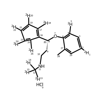 Cl.[2H]c1cc([2H])c(O[C@H](CCNC([2H])([2H])[2H])c2c([2H])c([2H])c([2H])c([2H])c2[2H])c(C)c1